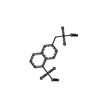 COS(=O)(=O)Cc1ccc2c(S(=O)(=O)OC)cccc2c1